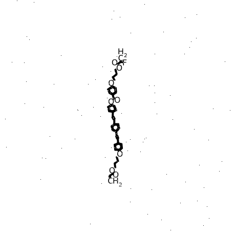 C=CC(=O)OCCCCOc1ccc(C#Cc2ccc(C#Cc3ccc(OC(=O)c4ccc(OCCCCOC(=O)C(=C)F)cc4)cc3)cc2)cc1